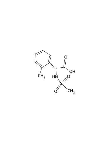 Cc1ccccc1C(NS(C)(=O)=O)C(=O)O